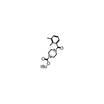 Cc1cccc(C(=O)N2CCN(C(=O)OC(C)(C)C)CC2)c1C